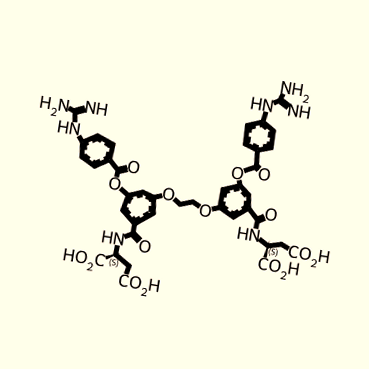 N=C(N)Nc1ccc(C(=O)Oc2cc(OCCOc3cc(OC(=O)c4ccc(NC(=N)N)cc4)cc(C(=O)N[C@@H](CC(=O)O)C(=O)O)c3)cc(C(=O)N[C@@H](CC(=O)O)C(=O)O)c2)cc1